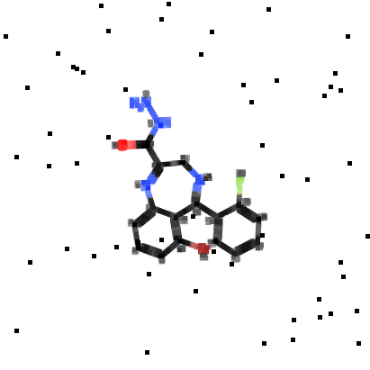 NNC(=O)C1=Nc2cccc(Br)c2C(c2ccccc2F)=NC1